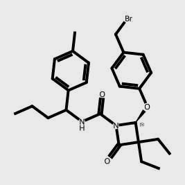 CCCC(NC(=O)N1C(=O)C(CC)(CC)[C@@H]1Oc1ccc(CBr)cc1)c1ccc(C)cc1